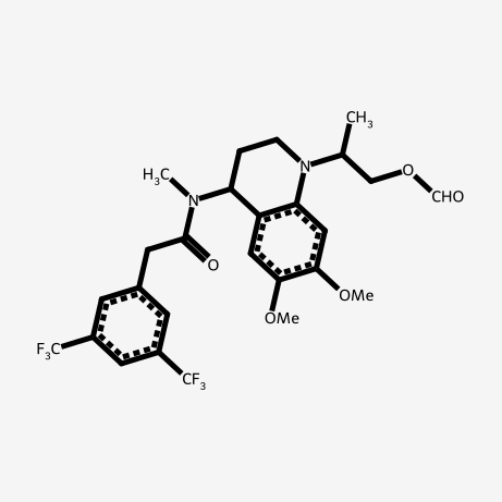 COc1cc2c(cc1OC)N(C(C)COC=O)CCC2N(C)C(=O)Cc1cc(C(F)(F)F)cc(C(F)(F)F)c1